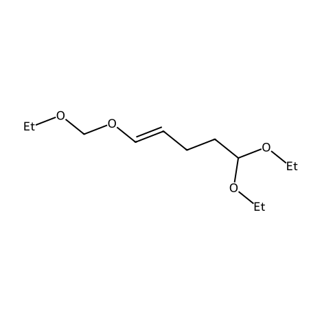 CCOCOC=CCCC(OCC)OCC